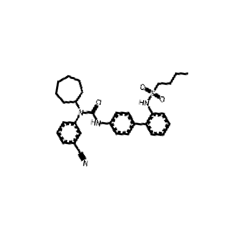 CCCCS(=O)(=O)Nc1ccccc1-c1ccc(NC(=O)N(c2cccc(C#N)c2)C2CCCCCC2)cc1